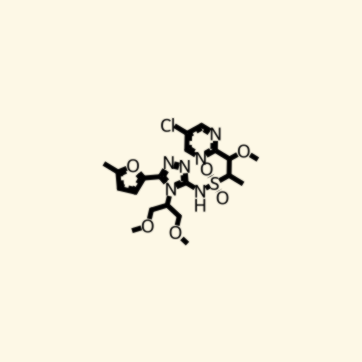 COCC(COC)n1c(NS(=O)(=O)C(C)C(OC)c2ncc(Cl)cn2)nnc1-c1ccc(C)o1